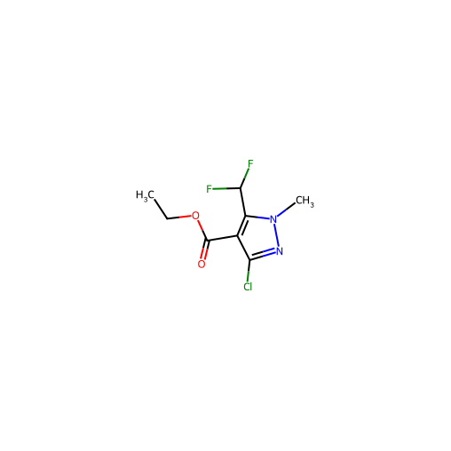 CCOC(=O)c1c(Cl)nn(C)c1C(F)F